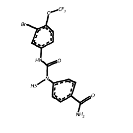 NC(=O)c1ccc(N(S)C(=O)Nc2ccc(OC(F)(F)F)c(Br)c2)cc1